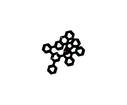 C1=CCC2C(=C1)Oc1cc(-c3ccccc3-c3nc(-c4ccccc4)cc(-c4ccc(-c5ccccc5)c5ccccc45)n3)ccc1C21c2ccccc2-c2ccccc21